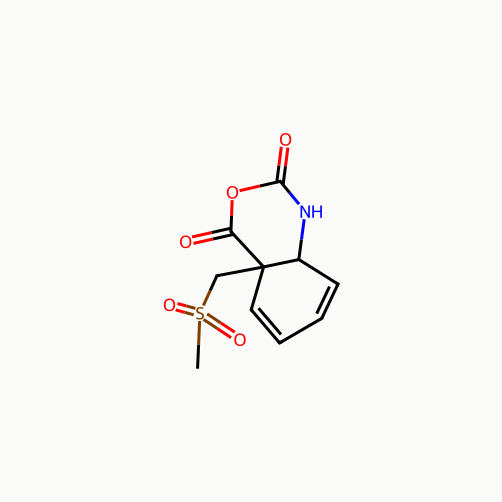 CS(=O)(=O)CC12C=CC=CC1NC(=O)OC2=O